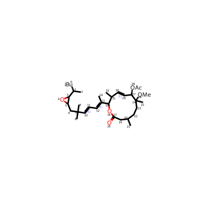 CCC(C)C(C)C1OC1CC(C)(C)/C=C/C=C(\C)C1OC(=O)CC(C)CCC(C)(OC)C(OC(C)=O)/C=C/C1C